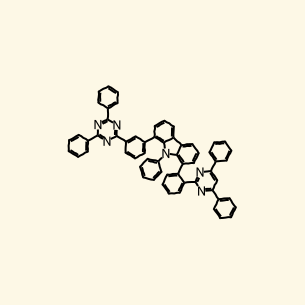 c1ccc(-c2cc(-c3ccccc3)nc(-c3ccccc3-c3cccc4c5cccc(-c6cccc(-c7nc(-c8ccccc8)nc(-c8ccccc8)n7)c6)c5n(-c5ccccc5)c34)n2)cc1